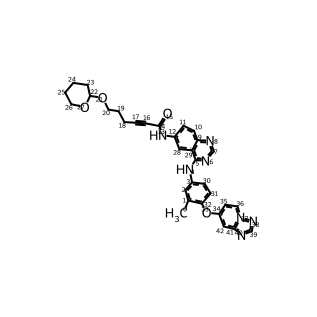 Cc1cc(Nc2ncnc3ccc(NC(=O)C#CCCCOC4CCCCO4)cc23)ccc1Oc1ccn2ncnc2c1